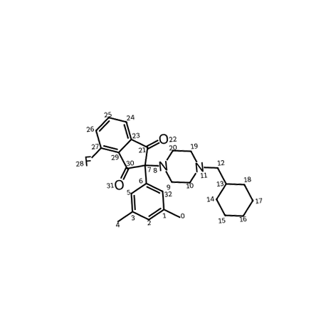 Cc1cc(C)cc(C2(N3CCN(CC4CCCCC4)CC3)C(=O)c3cccc(F)c3C2=O)c1